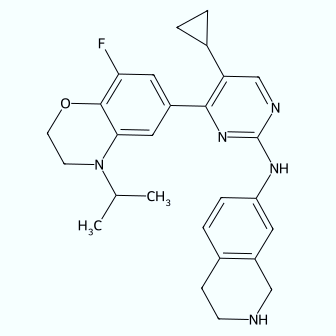 CC(C)N1CCOc2c(F)cc(-c3nc(Nc4ccc5c(c4)CNCC5)ncc3C3CC3)cc21